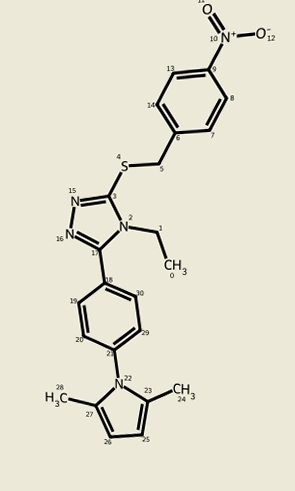 CCn1c(SCc2ccc([N+](=O)[O-])cc2)nnc1-c1ccc(-n2c(C)ccc2C)cc1